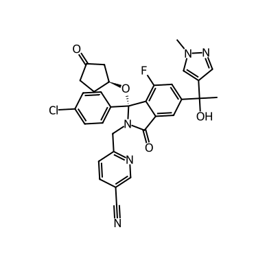 Cn1cc(C(C)(O)c2cc(F)c3c(c2)C(=O)N(Cc2ccc(C#N)cn2)[C@@]3(O[C@H]2CCC(=O)C2)c2ccc(Cl)cc2)cn1